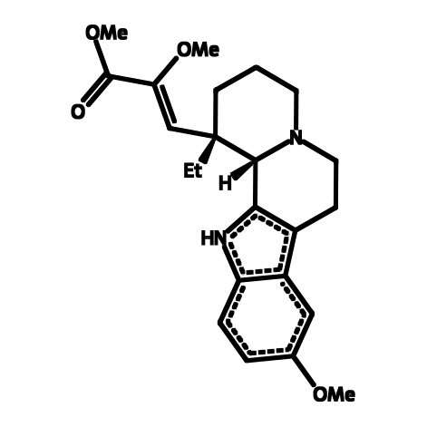 CC[C@@]1(/C=C(\OC)C(=O)OC)CCCN2CCc3c([nH]c4ccc(OC)cc34)[C@@H]21